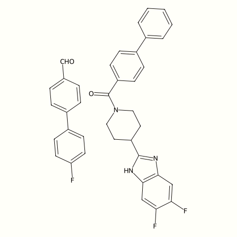 O=C(c1ccc(-c2ccccc2)cc1)N1CCC(c2nc3cc(F)c(F)cc3[nH]2)CC1.O=Cc1ccc(-c2ccc(F)cc2)cc1